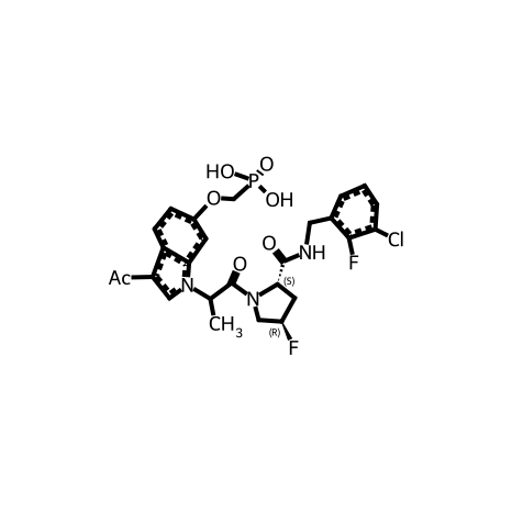 CC(=O)c1cn(C(C)C(=O)N2C[C@H](F)C[C@H]2C(=O)NCc2cccc(Cl)c2F)c2cc(OCP(=O)(O)O)ccc12